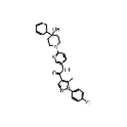 Cc1c(C(=O)Nc2ccc(N3CCC(O)(c4ccccc4)CC3)nc2)cnn1-c1ccc(Cl)cc1